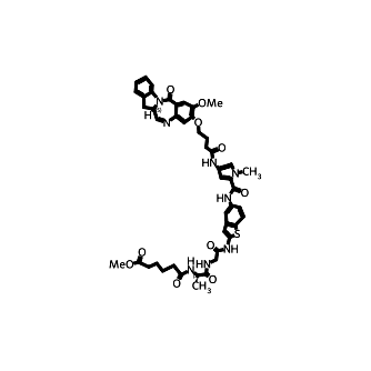 COC(=O)CCCCC(=O)N[C@@H](C)C(=O)NCC(=O)Nc1cc2cc(NC(=O)c3cc(NC(=O)CCCOc4cc5c(cc4OC)C(=O)N4c6ccccc6C[C@H]4C=N5)cn3C)ccc2s1